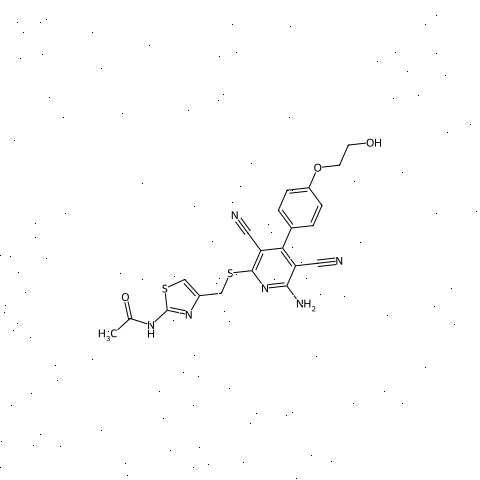 CC(=O)Nc1nc(CSc2nc(N)c(C#N)c(-c3ccc(OCCO)cc3)c2C#N)cs1